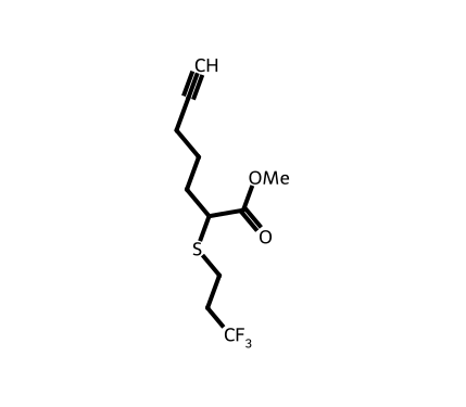 C#CCCCC(SCCC(F)(F)F)C(=O)OC